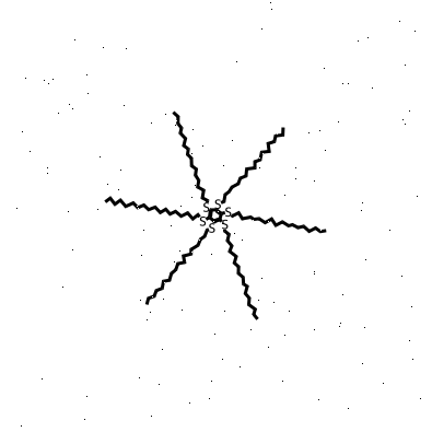 CCCCCCCCCCCCCCCCCCSc1c(SCCCCCCCCCCCCCCCCCC)c(SCCCCCCCCCCCCCCCCCC)c(SCCCCCCCCCCCCCCCCCC)c(SCCCCCCCCCCCCCCCCCC)c1SCCCCCCCCCCCCCCCCCC